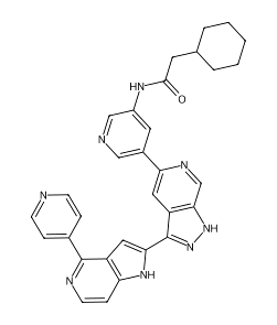 O=C(CC1CCCCC1)Nc1cncc(-c2cc3c(-c4cc5c(-c6ccncc6)nccc5[nH]4)n[nH]c3cn2)c1